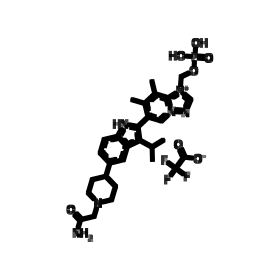 Cc1c(-c2[nH]c3ccc(C4CCN(CC(N)=O)CC4)cc3c2C(C)C)cn2nc[n+](COP(=O)(O)O)c2c1C.O=C([O-])C(F)(F)F